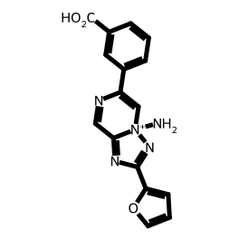 N[N+]12C=C(c3cccc(C(=O)O)c3)N=CC1=NC(c1ccco1)=N2